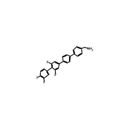 NCc1ccc(-c2ccc(-c3cc(F)c(-c4ccc(F)c(F)c4)c(F)c3)cc2)cc1